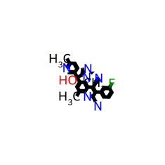 Cc1ccc(C(O)(c2cc(C)c3nc(C#N)c(-c4cccc(F)c4)c(C#N)c3c2)c2cncn2C)cn1